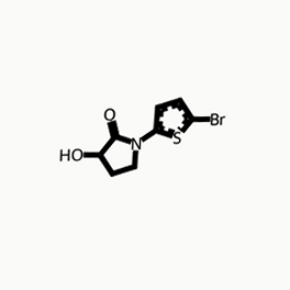 O=C1C(O)CCN1c1ccc(Br)s1